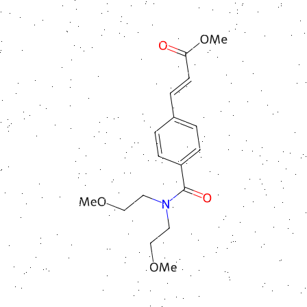 COCCN(CCOC)C(=O)c1ccc(/C=C/C(=O)OC)cc1